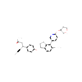 CC#CC(CC(=O)OC)c1ccc(O[C@@H]2CCc3c2ccc(OC)c3-c2ccc(OC3CCOC3)nc2)cc1